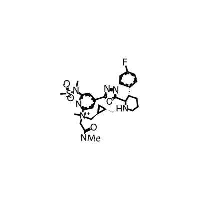 CNC(=O)C[N+](C)(C[C@H]1C[C@@H]1C)c1cc(-c2nnc(C3NCCC[C@H]3c3ccc(F)cc3)o2)cc(N(C)S(C)(=O)=O)n1